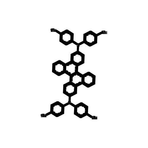 CC(C)(C)c1ccc(N(c2ccc(C(C)(C)C)cc2)c2ccc3c(c2)c2ccccc2c2c4ccc(N(c5ccc(C(C)(C)C)cc5)c5ccc(C(C)(C)C)cc5)cc4c4ccccc4c32)cc1